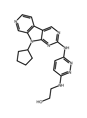 OCCNc1ccc(Nc2ncc3c4ccncc4n(C4CCCC4)c3n2)nn1